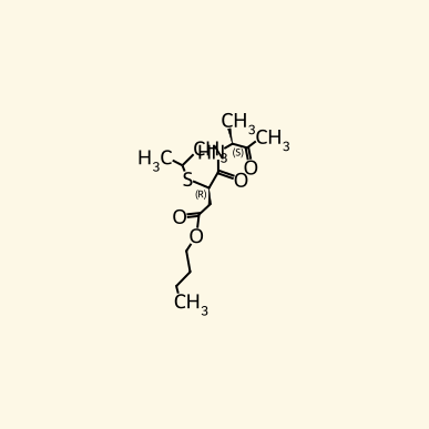 CCCCOC(=O)C[C@@H](SC(C)C)C(=O)N[C@@H](C)C(C)=O